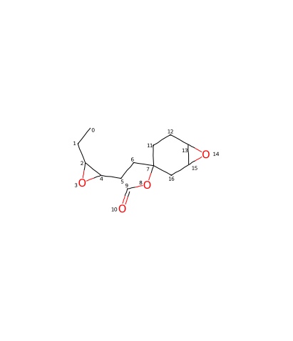 CCC1OC1CCC1(OC=O)CCC2OC2C1